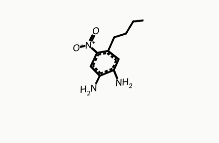 CCCCc1cc(N)c(N)cc1[N+](=O)[O-]